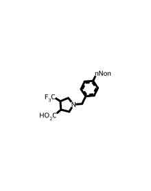 CCCCCCCCCc1ccc(CN2CC(C(=O)O)C(C(F)(F)F)C2)cc1